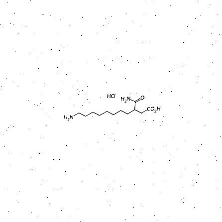 Cl.NCCCCCCCCC(CC(=O)O)C(N)=O